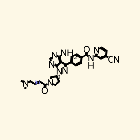 CN(C)C/C=C/C(=O)N1CC[C@@H](n2nc(-c3ccc(C(=O)Nc4cc(C#N)ccn4)cc3)c3c(N)ncnc32)C1